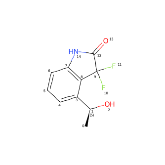 C[C@H](O)c1cccc2c1C(F)(F)C(=O)N2